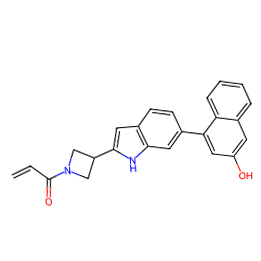 C=CC(=O)N1CC(c2cc3ccc(-c4cc(O)cc5ccccc45)cc3[nH]2)C1